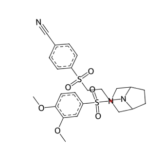 COc1ccc(S(=O)(=O)N2CC3CCC(C2)N3CCCS(=O)(=O)c2ccc(C#N)cc2)cc1OC